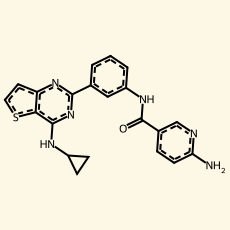 Nc1ccc(C(=O)Nc2cccc(-c3nc(NC4CC4)c4sccc4n3)c2)cn1